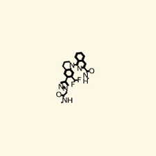 CNC(=O)Cn1cc(-c2cc3c(cc2C(F)F)N(c2nc(C(=O)NC)cc4ccccc24)CCC3)cn1